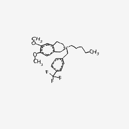 CCCCC[N+]1(Cc2ccc(C(F)(F)F)cc2)CCc2cc(OC)c(OC)cc2C1